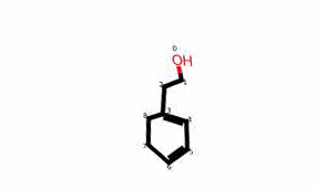 OCCC1=CC=CCC1